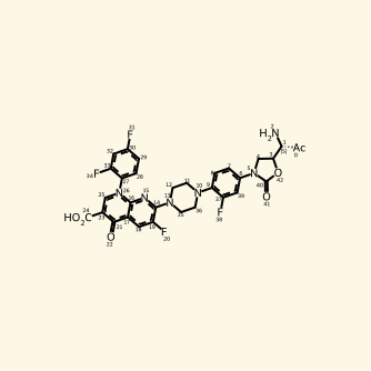 CC(=O)[C@@H](N)C1CN(c2ccc(N3CCN(c4nc5c(cc4F)c(=O)c(C(=O)O)cn5-c4ccc(F)cc4F)CC3)c(F)c2)C(=O)O1